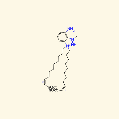 CCCCCCCC/C=C\CCCCCCCC[N+]1(CCCCCCCC/C=C\CCCCCCCC)NN(C)c2c(N)cccc21